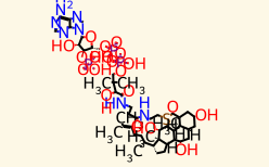 CC(C)=CCC[C@@H](C)[C@H]1CC[C@H]2[C@@H]3[C@H](O)C[C@@H]4C[C@H](O)CC(C(=O)SCCNC(=O)CCNC(=O)C(O)C(C)(C)COP(=O)(O)OP(=O)(O)OC[C@H]5O[C@@H](n6cnc7c(N)ncnc76)[C@H](O)[C@@H]5OP(=O)(O)O)[C@]4(C)[C@H]3C[C@H](O)[C@]12C